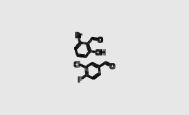 O=Cc1c(O)cccc1Br.O=Cc1ccc(F)c(Cl)c1